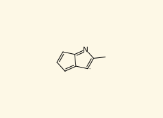 CC1=[C]C2=CC=CC2=N1